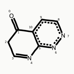 O=C1CC=Nc2nnccc21